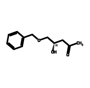 CC(=O)C[C@H](O)COCc1ccccc1